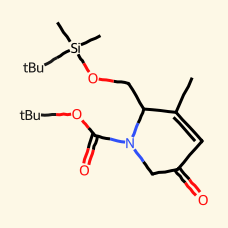 CC1=CC(=O)CN(C(=O)OC(C)(C)C)C1CO[Si](C)(C)C(C)(C)C